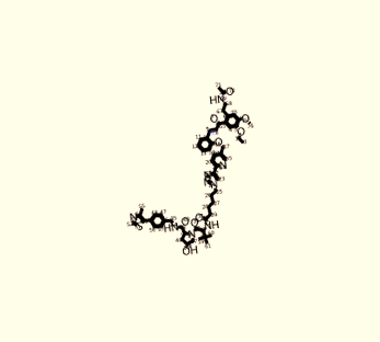 CCOc1cc(C(=O)/C=C/c2ccccc2OCc2ccc(-c3cn(CCCCCC(=O)N[C@H](C(=O)N4C[C@H](O)CC4C(=O)NCc4ccc(-c5scnc5C)cc4)C(C)(C)C)nn3)nc2)c(CCNC(C)=O)cc1OC